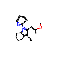 C=Cc1c2c(n(-c3ccccn3)c1/C=C(\C)OC)C=CCC2